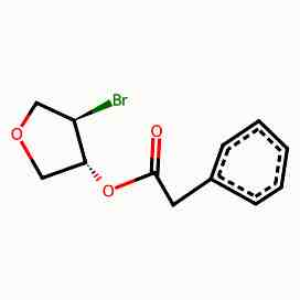 O=C(Cc1ccccc1)O[C@@H]1COC[C@H]1Br